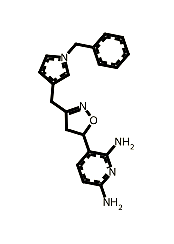 Nc1ccc(C2CC(Cc3ccn(Cc4ccccc4)c3)=NO2)c(N)n1